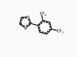 FC(F)(F)c1ccc(-c2nc[c]s2)c(C(F)(F)F)c1